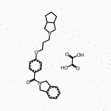 O=C(O)C(=O)O.O=C(c1ccc(OCCCN2CC3CCCC3C2)cc1)N1Cc2ccccc2C1